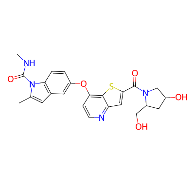 CNC(=O)n1c(C)cc2cc(Oc3ccnc4cc(C(=O)N5CC(O)CC5CO)sc34)ccc21